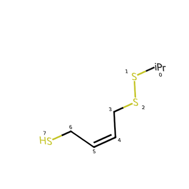 CC(C)SSC/C=C\CS